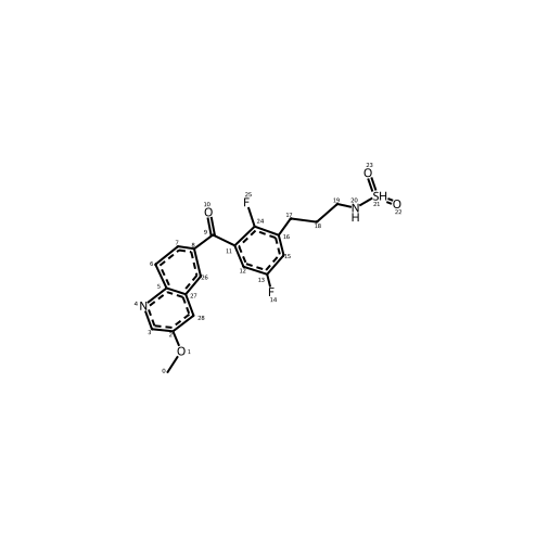 COc1cnc2ccc(C(=O)c3cc(F)cc(CCCN[SH](=O)=O)c3F)cc2c1